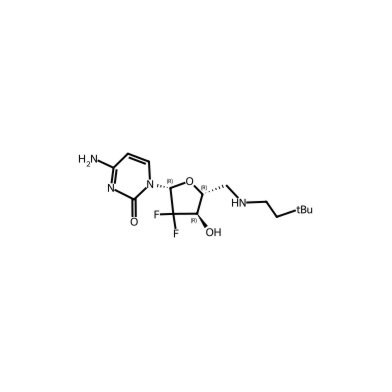 CC(C)(C)CCNC[C@H]1O[C@@H](n2ccc(N)nc2=O)C(F)(F)[C@@H]1O